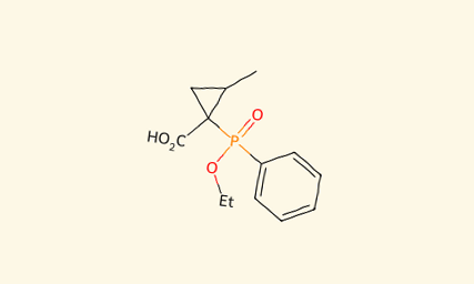 CCOP(=O)(c1ccccc1)C1(C(=O)O)CC1C